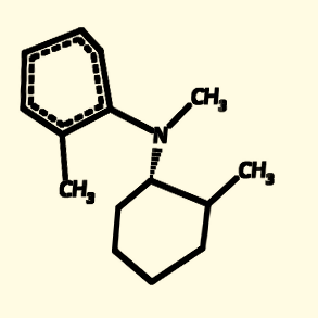 Cc1ccccc1N(C)[C@H]1CCCCC1C